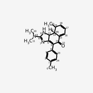 Cc1ccc(C2=C3N=C(N(C)C)NC3[C@H]3C(=CC=CC3C)C2=O)cc1